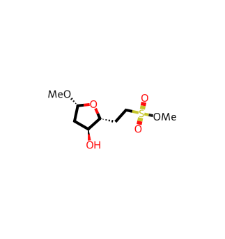 CO[C@H]1C[C@H](O)[C@@H](CCS(=O)(=O)OC)O1